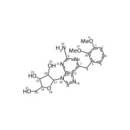 COc1cccc(Cc2nc(N)nc3c2ncn3C2OC(CO)C(O)C2O)c1OC